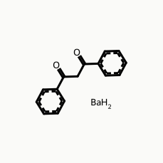 O=C(CC(=O)c1ccccc1)c1ccccc1.[BaH2]